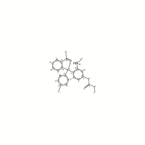 C=C(CC)Cc1ccc(C(C)(c2ccc(C)cc2)c2ccccc2C(=C)C)c(NC)c1